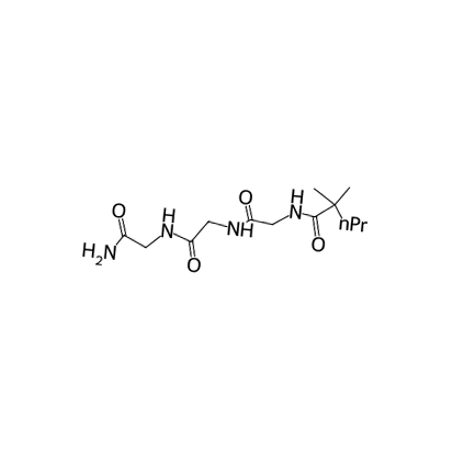 CCCC(C)(C)C(=O)NCC(=O)NCC(=O)NCC(N)=O